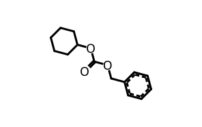 O=C(OCc1ccccc1)OC1CCCCC1